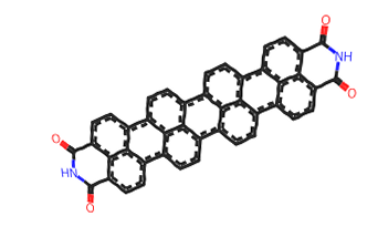 O=C1NC(=O)c2ccc3c4ccc5c6ccc7c8ccc9c%10c(ccc(c%11ccc(c%12ccc(c%13ccc1c2c%133)c4c%125)c6c%117)c%108)C(=O)NC9=O